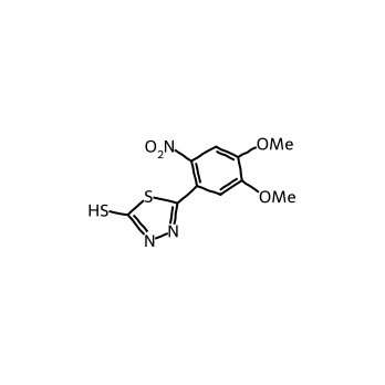 COc1cc(-c2nnc(S)s2)c([N+](=O)[O-])cc1OC